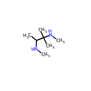 CNC(C)C(C)(C)NC